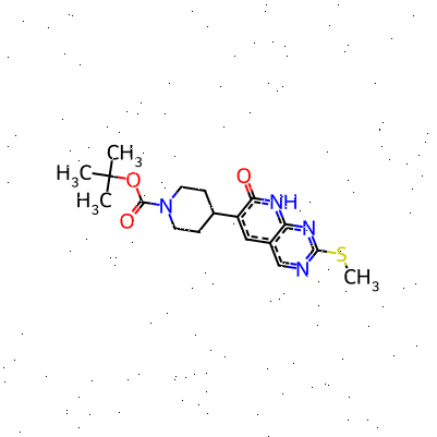 CSc1ncc2cc(C3CCN(C(=O)OC(C)(C)C)CC3)c(=O)[nH]c2n1